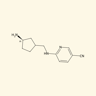 N#Cc1ccc(NCC2CC[C@@H](N)C2)nc1